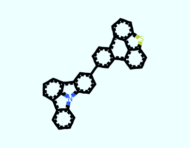 c1cc2sc3cccc4c5cc(-c6ccc7c(c6)c6cccc8c9ccccc9n7c86)ccc5c(c1)c2c34